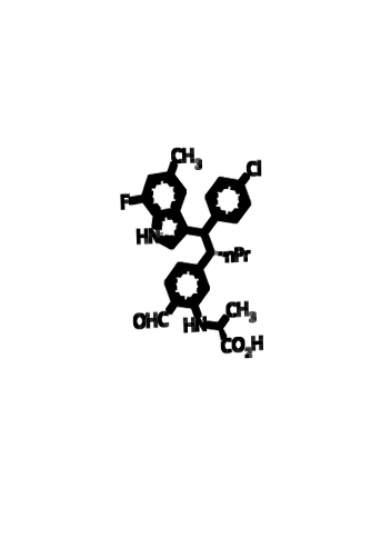 CCC[C@H](c1ccc(C=O)c(N[C@@H](C)C(=O)O)c1)C(c1ccc(Cl)cc1)c1c[nH]c2c(F)cc(C)cc12